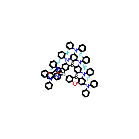 Fc1cccc(F)c1N1c2cc3c(cc2B2c4ccccc4Oc4cc(N(c5ccccc5)c5ccccc5)cc1c42)B1c2cc4c(cc2N(c2c(F)cccc2F)c2cc(N(c5ccccc5)c5ccccc5)cc(c21)N3c1c(F)cccc1F)N(c1c(F)cccc1F)c1cc(N(c2ccccc2)c2ccccc2)cc2c1B4c1cccc3c4ccccc4n-2c13